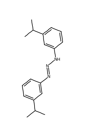 CC(C)c1cccc(/N=N/Nc2cccc(C(C)C)c2)c1